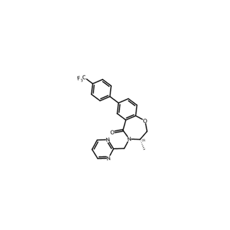 C[C@H]1COc2ccc(-c3ccc(C(F)(F)F)cc3)cc2C(=O)N1Cc1ncccn1